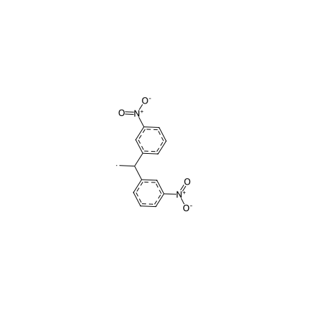 [CH2]C(c1cccc([N+](=O)[O-])c1)c1cccc([N+](=O)[O-])c1